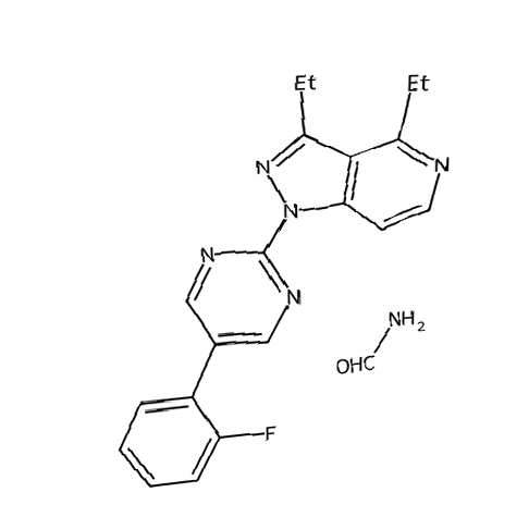 CCc1nccc2c1c(CC)nn2-c1ncc(-c2ccccc2F)cn1.NC=O